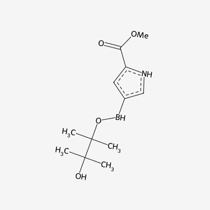 COC(=O)c1cc(BOC(C)(C)C(C)(C)O)c[nH]1